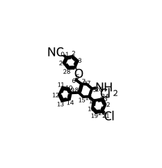 N#Cc1ccc(OCC2=C(c3ccccc3)CC(c3ccc(Cl)cc3Cl)C(N)C2)cc1